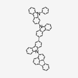 c1ccc(-n2c3ccccc3c3ccc(-n4c5ccccc5c5cc(-c6ccc7c(c6)c6ccccc6n7-c6ccc7c8c(cccc68)-c6ccccc6-7)ccc54)cc32)cc1